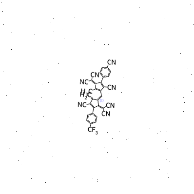 C=C1C(C#N)=C(c2ccc(C(F)(F)F)cc2)C(=C(C#N)C#N)/C1=C/C1=C(C)C(=C(C#N)C#N)C(c2ccc(C#N)cc2)=C1C#N